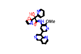 COc1ncc(-c2cncc3cccnc23)cc1NC(=O)[C@@](O)(c1ccccn1)c1ncco1